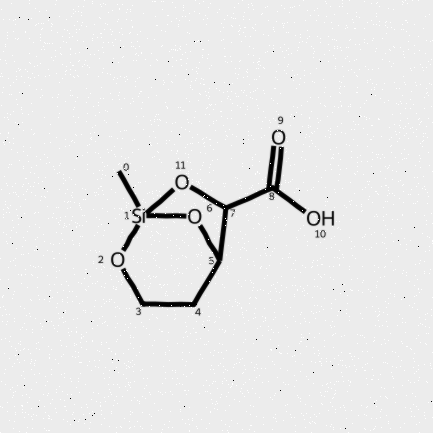 C[Si]12OCCC(O1)C(C(=O)O)O2